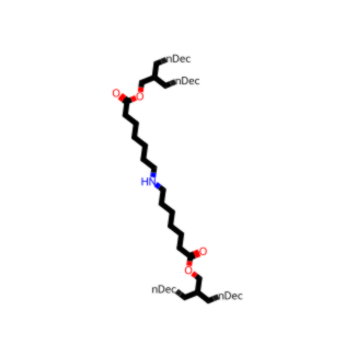 CCCCCCCCCCCC(CCCCCCCCCCC)COC(=O)CCCCCCNCCCCCCC(=O)OCC(CCCCCCCCCCC)CCCCCCCCCCC